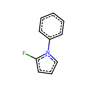 Fc1cccn1-c1ccccc1